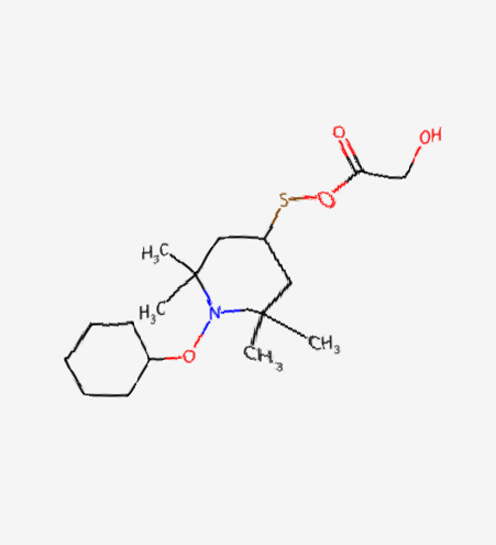 CC1(C)CC(SOC(=O)CO)CC(C)(C)N1OC1CCCCC1